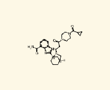 NC(=O)c1cccc2[nH]c([C@@]34CCC[C@@H](CN3CCC(=O)N3CCN(C(=O)C5CC5)CC3)C4)nc12